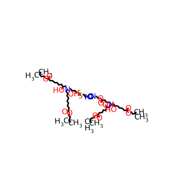 CC(C)CCOC(=O)CCCCCCC(O)CN(CCCCSSCCN1CCN(CCOC(=O)CCCN(CC(O)CCCCC(=O)OCCC(C)C)CC(O)CCCCC(=O)OCCC(C)C)CC1)CC(O)CCCCCCC(=O)OCCC(C)C